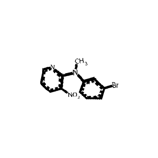 CN(c1cccc(Br)c1)c1ncccc1[N+](=O)[O-]